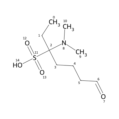 CCC(CCCC=O)(N(C)C)S(=O)(=O)O